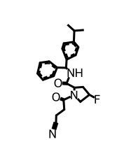 CC(C)c1ccc(C(NC(=O)C2CC(F)CN2C(=O)CCC#N)c2ccccc2)cc1